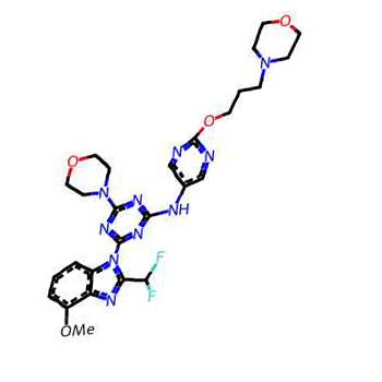 COc1cccc2c1nc(C(F)F)n2-c1nc(Nc2cnc(OCCCN3CCOCC3)nc2)nc(N2CCOCC2)n1